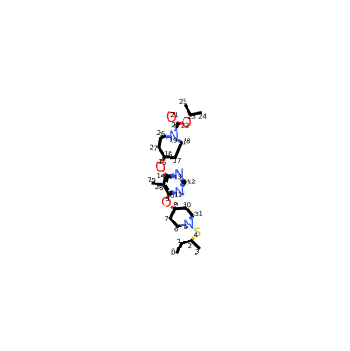 CCC(C)SN1CCC(Oc2ncnc(OC3CCN(C(=O)OC(C)C)CC3)c2C)CC1